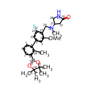 COc1cc(-c2cccc(B3OC(C)(C)C(C)(C)O3)c2C)cc(F)c1CN(C)C1CNC(=O)C1